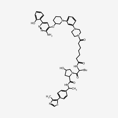 Cc1ncsc1-c1ccc(C(C)NC(=O)C2CC(O)CN2C(=O)C(NC(=O)CCCCCC(=O)N2CCN(c3cccc(N4CCCC(Oc5cc(-c6ccccc6O)nnc5N)C4)c3)CC2)C(C)(C)C)cc1